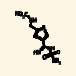 N=C(NS(N)(=O)=O)c1csc(CNC(=O)O)c1